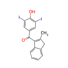 CC1=C(C(=O)c2cc(I)c(O)c(I)c2)c2ccccc2C1